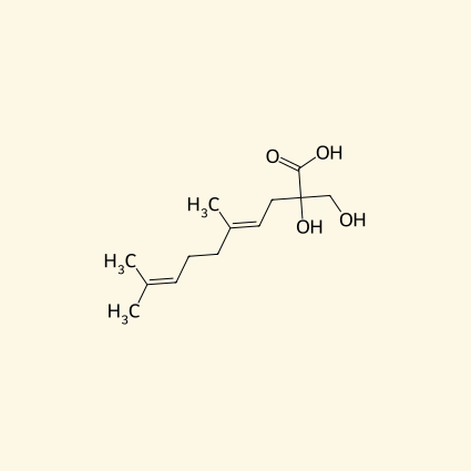 CC(C)=CCC/C(C)=C/CC(O)(CO)C(=O)O